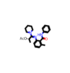 CC(=O)O[C@@H](C)/C(=N\c1cccc(C)c1C(=O)Nc1ccccc1)N1CCCCC1